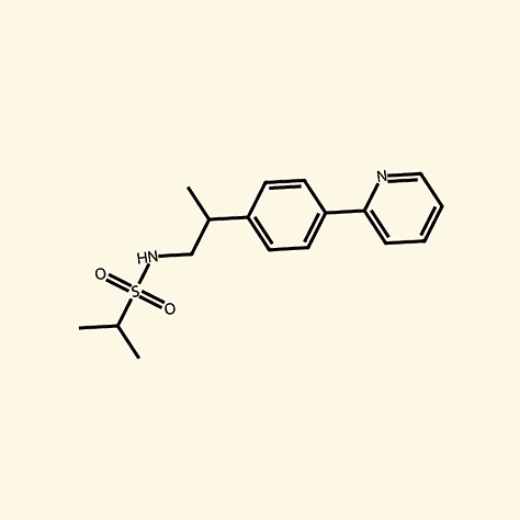 CC(CNS(=O)(=O)C(C)C)c1ccc(-c2ccccn2)cc1